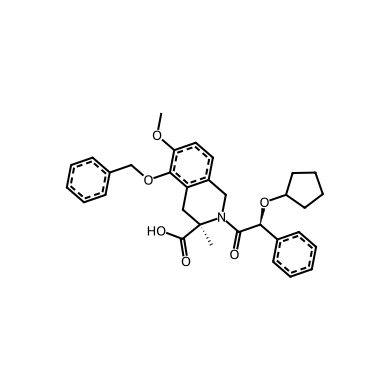 COc1ccc2c(c1OCc1ccccc1)C[C@](C)(C(=O)O)N(C(=O)[C@@H](OC1CCCC1)c1ccccc1)C2